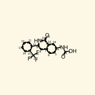 O=C(O)Nc1ccc2cc(-c3ccccc3C(F)(F)F)[nH]c(=O)c2c1